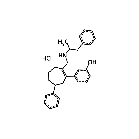 CC(Cc1ccccc1)NCC1=C(c2cccc(O)c2)CC(c2ccccc2)CCC1.Cl